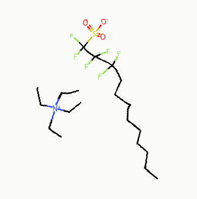 CCCCCCCCCC(F)(F)C(F)(F)C(F)(F)S(=O)(=O)[O-].CC[N+](CC)(CC)CC